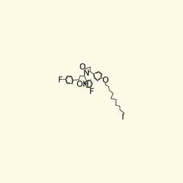 O=C1CC(c2ccc(OCCCCCCCCCCI)cc2)N1C(CC(O)c1ccc(F)cc1)c1ccc(F)cc1